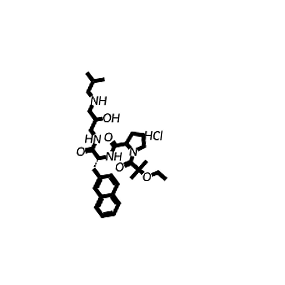 CCOC(C)(C)C(=O)N1CCCC1C(=O)N[C@H](Cc1ccc2ccccc2c1)C(=O)NCC(O)CNCC(C)C.Cl